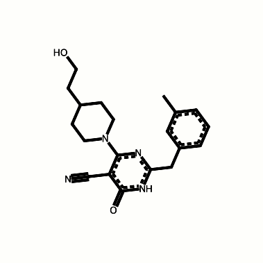 Cc1cccc(Cc2nc(N3CCC(CCO)CC3)c(C#N)c(=O)[nH]2)c1